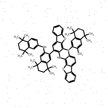 Cc1cc2c(cc1N1c3ccc4c(sc5ccccc54)c3Bc3c(-c4cc5c(cc4Nc4ccc6c(c4)C(C)(C)CCC6(C)C)C(C)(C)CCC5(C)C)cc4c(oc5ccccc54)c31)C(C)(C)CCC2(C)C